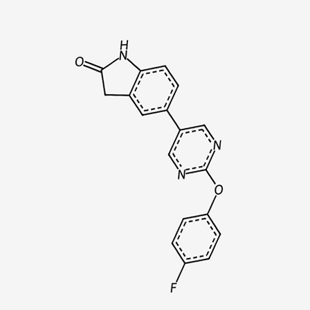 O=C1Cc2cc(-c3cnc(Oc4ccc(F)cc4)nc3)ccc2N1